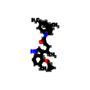 Cc1ccc2[nH]cc(C(C)CC3OC3N3C4CC5(C)CC3CC(C)(C4)C5)c2c1OC1CC1